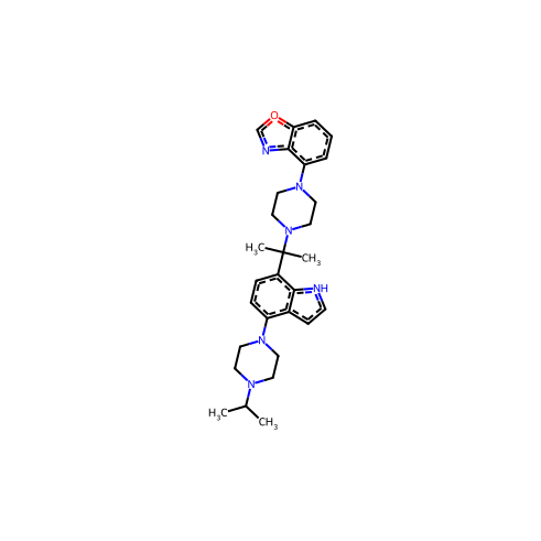 CC(C)N1CCN(c2ccc(C(C)(C)N3CCN(c4cccc5ocnc45)CC3)c3[nH]ccc23)CC1